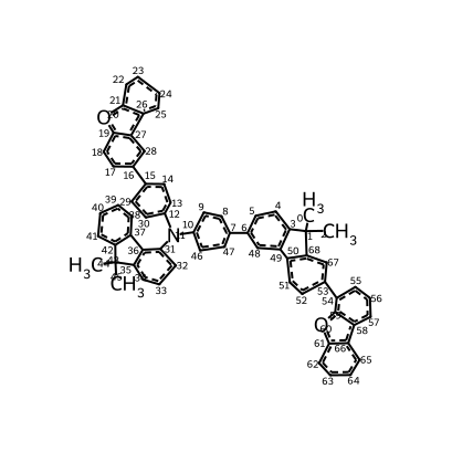 CC1(C)c2ccc(-c3ccc(N(c4ccc(-c5ccc6oc7ccccc7c6c5)cc4)c4cccc5c4-c4ccccc4C5(C)C)cc3)cc2-c2ccc(-c3cccc4c3oc3ccccc34)cc21